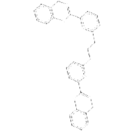 c1cc(CCCc2cccc(C3=NCc4ccccc4N3)n2)nc(C2=NCc3ccccc3N2)c1